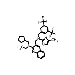 CCN(CC1CCCC1)c1nc2ccccc2cc1CN(CC1=CC(C(F)(F)F)=C[C@H](C(F)(F)F)C1)c1nc(C)co1